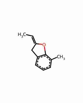 C/C=C1\Cc2cccc(C)c2O1